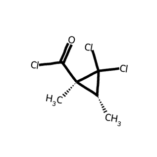 C[C@H]1C(Cl)(Cl)[C@]1(C)C(=O)Cl